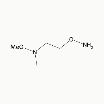 CON(C)CCON